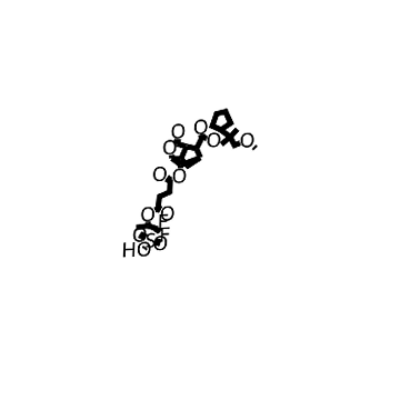 COCC(C)(C)C1(OC(=O)C2C3CC4C(OC(=O)C42)C3OC(=O)CCC(=O)OC(C)C(F)(F)S(=O)(=O)O)CCCC1